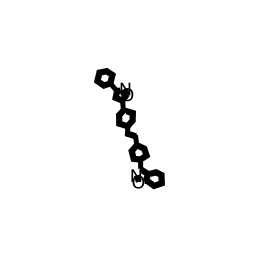 C(=C\c1ccc(-c2noc3ccccc23)cc1)/c1ccc(-c2cc(-c3ccccc3)no2)cc1